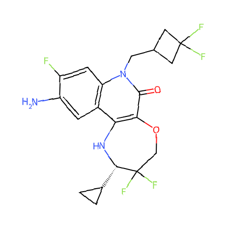 Nc1cc2c3c(c(=O)n(CC4CC(F)(F)C4)c2cc1F)OCC(F)(F)[C@H](C1CC1)N3